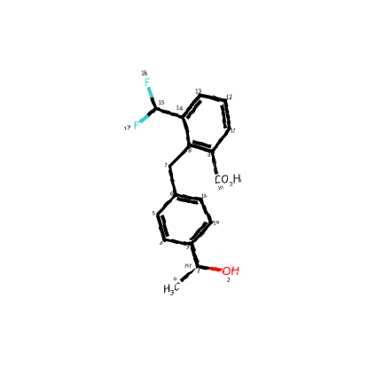 C[C@H](O)c1ccc(Cc2c(C(=O)O)cccc2C(F)F)cc1